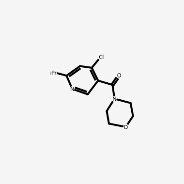 CC(C)c1cc(Cl)c(C(=O)N2CCOCC2)cn1